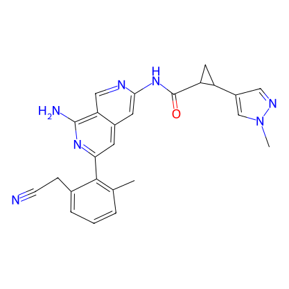 Cc1cccc(CC#N)c1-c1cc2cc(NC(=O)C3CC3c3cnn(C)c3)ncc2c(N)n1